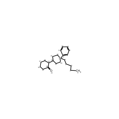 CCCCC[Si]1(c2ccccc2)CCC(C2CCCCC2=O)CC1